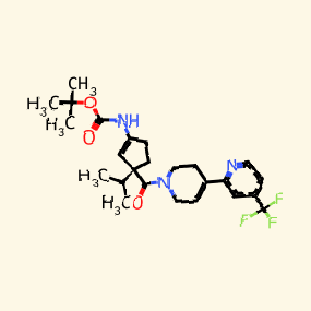 CC(C)[C@@]1(C(=O)N2CC=C(c3cc(C(F)(F)F)ccn3)CC2)C=C(NC(=O)OC(C)(C)C)CC1